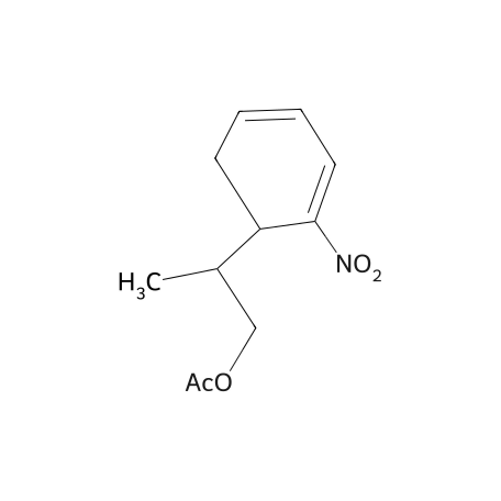 CC(=O)OCC(C)C1CC=CC=C1[N+](=O)[O-]